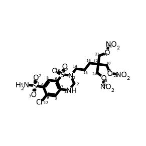 NS(=O)(=O)c1cc2c(cc1Cl)NCN(CCCC(CO[N+](=O)[O-])(CO[N+](=O)[O-])CO[N+](=O)[O-])S2(=O)=O